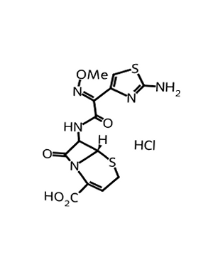 CON=C(C(=O)NC1C(=O)N2C(C(=O)O)=CCS[C@@H]12)c1csc(N)n1.Cl